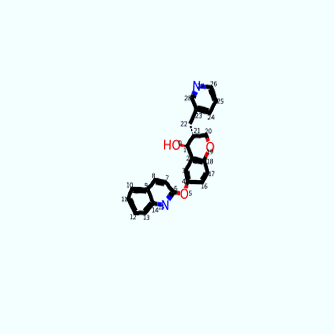 O[C@@H]1c2cc(Oc3ccc4ccccc4n3)ccc2OC[C@H]1Cc1cccnc1